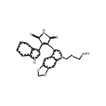 CNCCCn1cc(C2=C(c3c[nH]c4ccccc34)C(=O)NC2=O)c2cc3c(cc21)OCO3